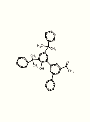 CC(=O)c1cc(-c2ccccc2)cc(-c2cc(C(C)(C)c3ccccc3)cc(C(C)(C)c3ccccc3)c2O)n1